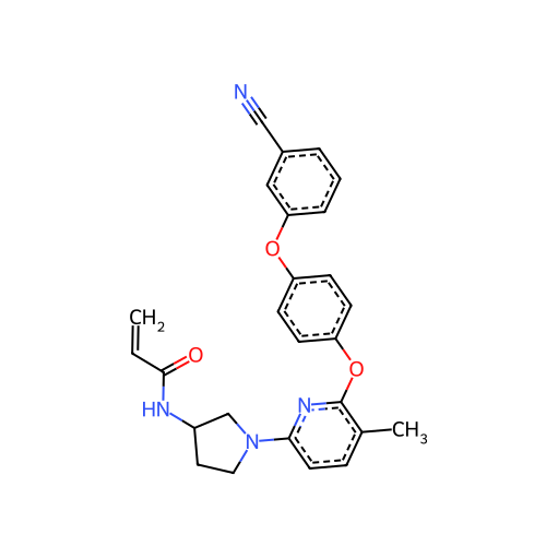 C=CC(=O)NC1CCN(c2ccc(C)c(Oc3ccc(Oc4cccc(C#N)c4)cc3)n2)C1